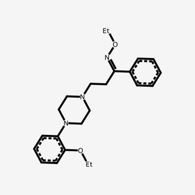 CCON=C(CCN1CCN(c2ccccc2OCC)CC1)c1ccccc1